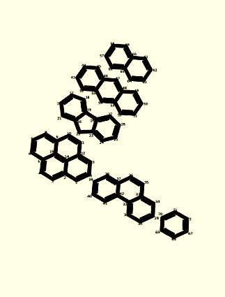 c1cc2ccc3cccc4ccc(c1)c2c34.c1ccc2c(c1)Cc1ccccc1-2.c1ccc2c(c1)ccc1ccccc12.c1ccc2cc3ccccc3cc2c1.c1ccc2ccccc2c1.c1ccccc1